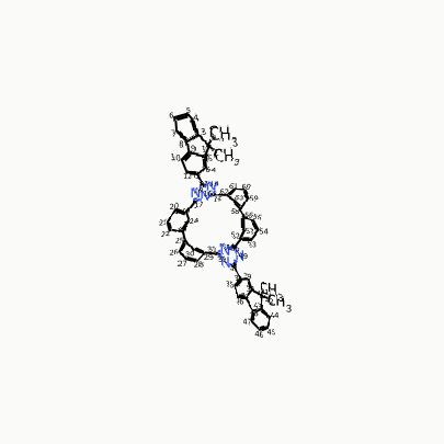 CC1(C)c2ccccc2-c2ccc(-c3nc4nc(n3)c3cccc(c3)c3cccc(c3)c3nc(-c5ccc6c(c5)C(C)(C)c5ccccc5-6)nc(n3)c3cccc(c3)c3cccc4c3)cc21